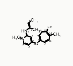 C/C=C(\C)NC1C=C(OC2=CCC(F)=C(C)C=C2)C=CN1C